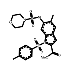 COC(=O)c1cc2cc(C)c(NS(=O)(=O)N3CCOCC3)cc2n1S(=O)(=O)c1ccc(C)cc1